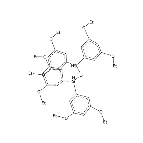 CCOc1cc(OCC)cc([SiH](O[SiH](c2cc(OCC)cc(OCC)c2)c2cc(OCC)cc(OCC)c2)c2cc(OCC)cc(OCC)c2)c1